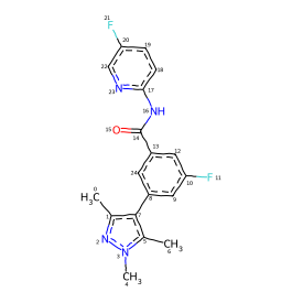 Cc1nn(C)c(C)c1-c1cc(F)cc(C(=O)Nc2ccc(F)cn2)c1